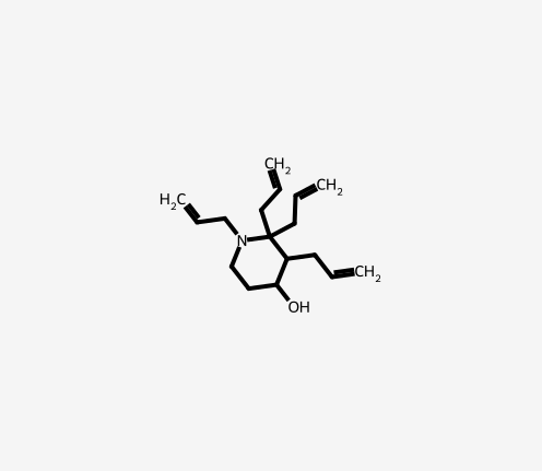 C=CCC1C(O)CCN(CC=C)C1(CC=C)CC=C